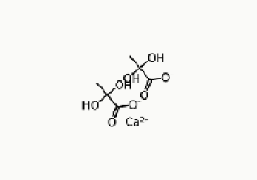 CC(O)(O)C(=O)[O-].CC(O)(O)C(=O)[O-].[Ca+2]